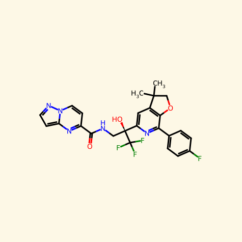 CC1(C)COc2c1cc([C@@](O)(CNC(=O)c1ccn3nccc3n1)C(F)(F)F)nc2-c1ccc(F)cc1